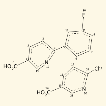 O=C(O)c1ccc(-c2cccc(F)c2)nc1.O=C(O)c1ccc(Cl)nc1